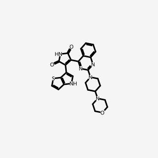 O=C1NC(=O)C(c2c[nH]c3ccsc23)=C1c1nc(N2CCC(N3CCOCC3)CC2)nc2ccccc12